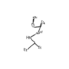 CCC(CC)NNC(=O)OC(C)(C)C